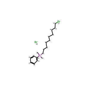 C[P+](C)(CCCCCCCCCCBr)c1ccccc1.[Br-]